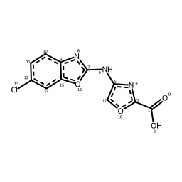 O=C(O)c1nc(Nc2nc3ccc(Cl)cc3o2)co1